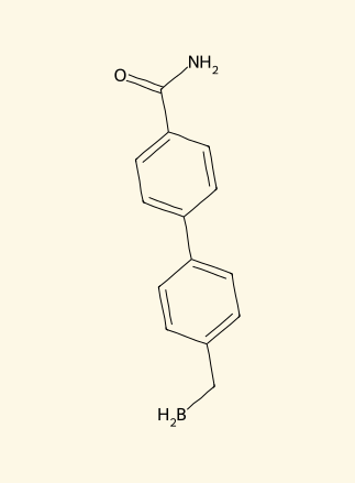 BCc1ccc(-c2ccc(C(N)=O)cc2)cc1